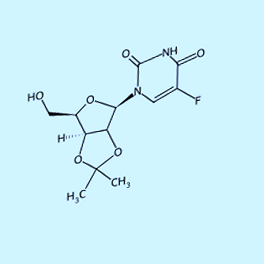 CC1(C)OC2[C@@H](O1)[C@@H](CO)O[C@H]2n1cc(F)c(=O)[nH]c1=O